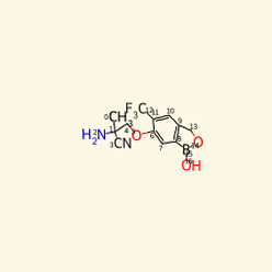 CC(N)(C#N)COc1cc2c(cc1C(F)(F)F)COB2O